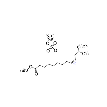 CCCCCCC(O)C/C=C\CCCCCCCC(=O)OCCCC.O=S(=O)([O-])[O-].[Na+].[Na+]